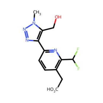 Cn1nnc(-c2ccc(CC(=O)O)c(C(F)F)n2)c1CO